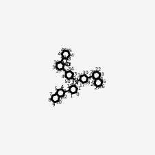 c1cc(-c2ccc3ccccc3c2)cc(N(c2ccc(-c3cccc4ccccc34)cc2)c2ccc(-c3cccc4c3sc3ccccc34)cc2)c1